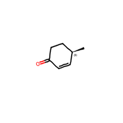 C[C@H]1C=CC(=O)CC1